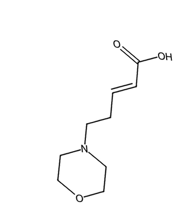 O=C(O)C=CCCN1CCOCC1